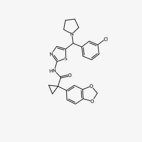 O=C(Nc1ncc(C(c2cccc(Cl)c2)N2CCCC2)s1)C1(c2ccc3c(c2)OCO3)CC1